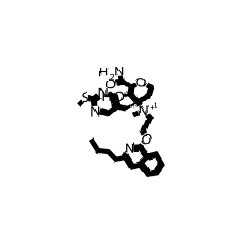 CCCCc1cc2ccccc2c(OCC[N+](C)(C)[C@@]2(Cc3cnc(SC)nc3)CCOC(C(N)=O)[C@@H]2O)n1